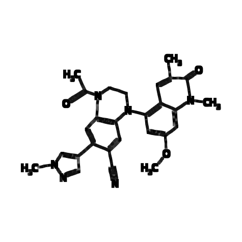 COc1cc(N2CCN(C(C)=O)c3cc(-c4cnn(C)c4)c(C#N)cc32)c2cc(C)c(=O)n(C)c2c1